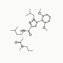 CCCN(C)C(=O)C[C@H](CC(C)C)NC(=O)c1cc(-c2c(OC)cccc2OC)n(CC(C)C)n1